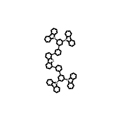 c1cc(-c2cc(-n3c4ccccc4c4ccccc43)cc(-n3c4ccccc4c4ccccc43)c2)cc(-c2cccc3c2sc2c(-c4cccc(-c5cc(-n6c7ccccc7c7ccccc76)cc(-n6c7ccccc7c7ccccc76)c5)c4)cccc23)c1